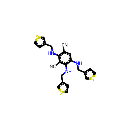 N#Cc1cc(NCc2ccsc2)c(NCc2ccsc2)c(C#N)c1NCc1ccsc1